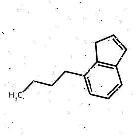 CCCCc1cccc2c1[CH]C=C2